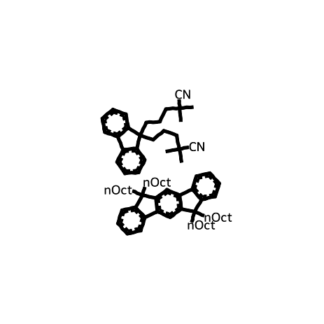 CC(C)(C#N)CCCC1(CCCC(C)(C)C#N)c2ccccc2-c2ccccc21.CCCCCCCCC1(CCCCCCCC)c2ccccc2-c2cc3c(cc21)-c1ccccc1C3(CCCCCCCC)CCCCCCCC